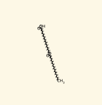 CCCCCCC=CCCCCCCCCCCCC(=O)OCCCCCCCCCCCCCCCCCCC(=O)O